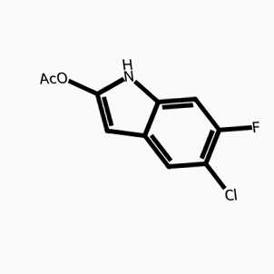 CC(=O)Oc1cc2cc(Cl)c(F)cc2[nH]1